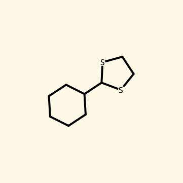 C1CC[C](C2SCCS2)CC1